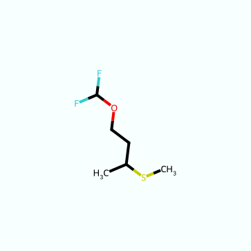 CSC(C)CCOC(F)F